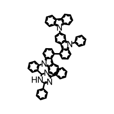 c1ccc(C2=NC(c3ccccc3-n3c4ccccc4c4c(-c5cccc6c5c5ccc(-n7c8ccccc8c8ccccc87)cc5n6-c5ccccc5)cccc43)NC(c3ccccc3)=N2)cc1